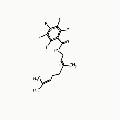 CC(C)=CCC/C(C)=C/CNC(=O)c1c(F)c(F)c(F)c(F)c1F